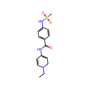 CCN1C=CC(NC(=O)c2ccc(NS(C)(=O)=O)cc2)=CC1